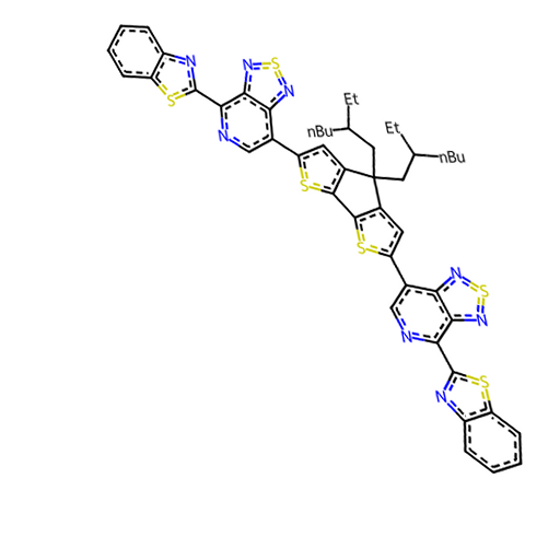 CCCCC(CC)CC1(CC(CC)CCCC)c2cc(-c3cnc(-c4nc5ccccc5s4)c4nsnc34)sc2-c2sc(-c3cnc(-c4nc5ccccc5s4)c4nsnc34)cc21